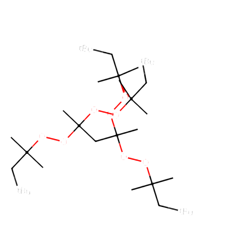 CC(C)(C)CC(C)(C)OOC(C)(CC(C)(OOC(C)(C)CC(C)(C)C)OOC(C)(C)CC(C)(C)C)OOC(C)(C)CC(C)(C)C